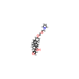 C[C@]12CCC(OCCOCCN3CCCC3)CC1=CC[C@@H]1[C@H]2CC[C@@]2(C)[C@H]1CCC2(O)c1ccoc1